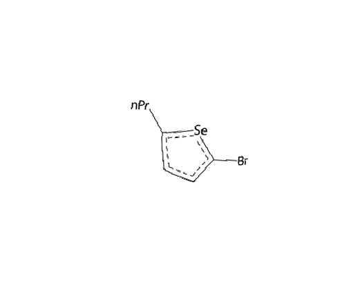 CCCc1ccc(Br)[se]1